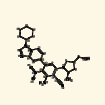 CC1CC(CO)CN1c1cc(-c2ccc3c(c2)ncn3C2CCCCC2)c([N+](=O)[O-])c(N)c1C#N